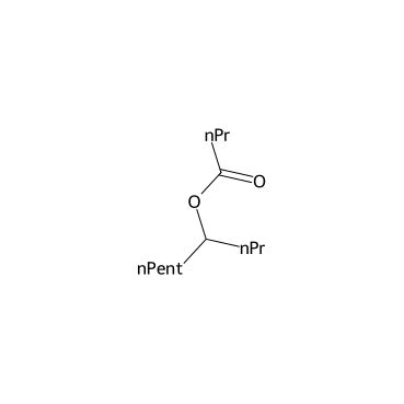 CCCCCC(CCC)OC(=O)CCC